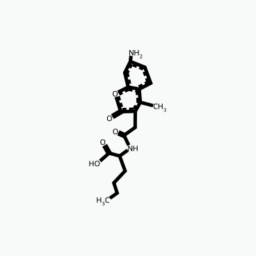 CCCCC(NC(=O)Cc1c(C)c2ccc(N)cc2oc1=O)C(=O)O